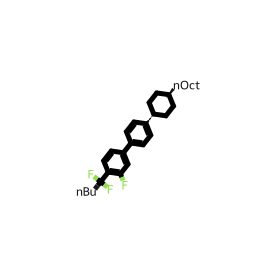 CCCCCCCC[C@H]1CC[C@H](c2ccc(-c3ccc(C(F)(F)CCCC)c(F)c3)cc2)CC1